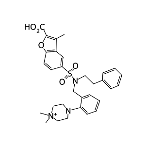 Cc1c(C(=O)O)oc2ccc(S(=O)(=O)N(CCc3ccccc3)Cc3ccccc3N3CC[N+](C)(C)CC3)cc12